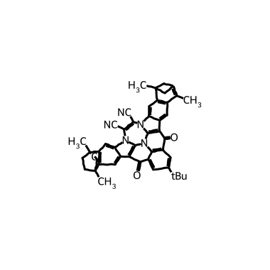 CC1=C2CC(C)(C2)c2cc3c(cc21)c1c(=O)c2cc(C(C)(C)C)cc4c(=O)c5c6cc7c(cc6n6c(C#N)c(C#N)n3c1n(c24)c56)C1(C)CCC7(C)CC1